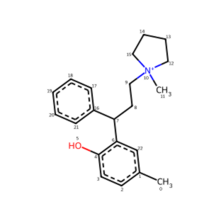 Cc1ccc(O)c(C(CC[N+]2(C)CCCC2)c2ccccc2)c1